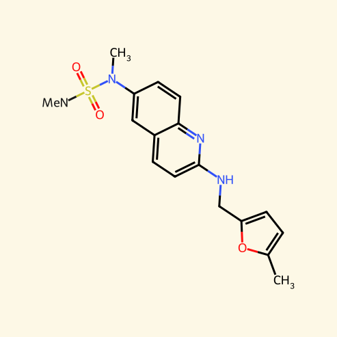 CNS(=O)(=O)N(C)c1ccc2nc(NCc3ccc(C)o3)ccc2c1